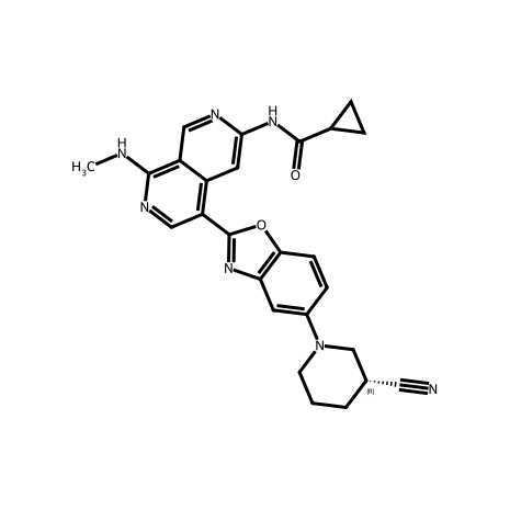 CNc1ncc(-c2nc3cc(N4CCC[C@@H](C#N)C4)ccc3o2)c2cc(NC(=O)C3CC3)ncc12